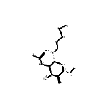 C=C1C(O)C(NC(C)=O)[C@H](OCCCCC)O[C@@H]1CC